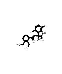 O=C(CC1(O)C(=O)Nc2c(Cl)ccc(Cl)c21)c1cccc(CO)c1CO